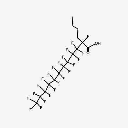 CCCCC(F)(C(=O)O)C(F)(F)C(F)(F)C(F)(F)C(F)(F)C(F)(F)C(F)(F)C(F)(F)C(F)(F)C(F)(F)C(F)(F)F